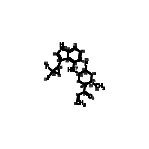 C=CC(=O)N1C[C@H](Nc2ncnc3[nH]cc(C4CC4(F)F)c23)[C@@H](F)C[C@@H]1C